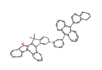 CC1(C)C2=CCC(c3cccc(-c4c5ccccc5c(-c5ccc6ccccc6c5)c5ccccc45)c3)C=C2c2c1c1sc3ccccc3c1c1ccccc21